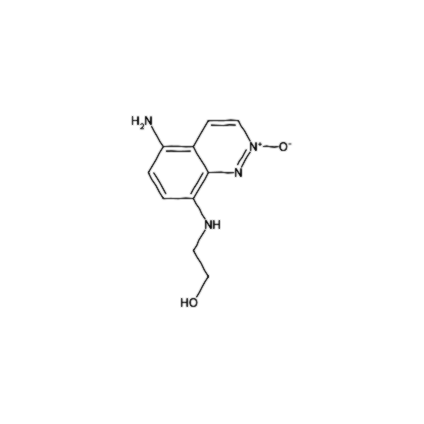 Nc1ccc(NCCO)c2n[n+]([O-])ccc12